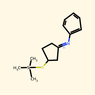 C[Si](C)(C)SC1CC/C(=N\c2ccccc2)C1